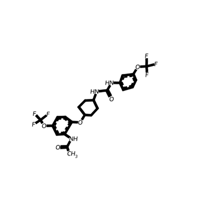 CC(=O)Nc1cc(OC(F)(F)F)ccc1OC1CCC(NC(=O)Nc2cccc(OC(F)(F)F)c2)CC1